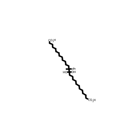 CCCC(C)(CCCCCCCCCCCCC(=O)O)C(O)(O)CCCCCCCCCCCC(=O)O